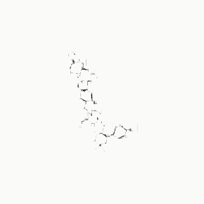 CC1(C)CCC(CN2CCN(Cc3cc4c(cc3F)C(=O)N(C3CCC(=O)NC3=O)C4)C(CF)C2)=C(c2ccc(Cl)cc2)C1